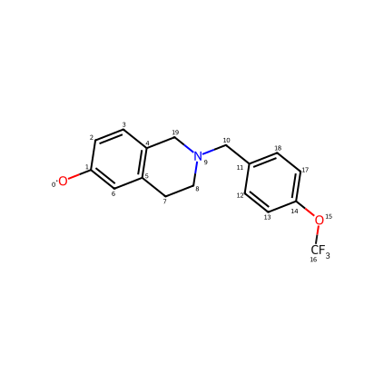 [O]c1ccc2c(c1)CCN(Cc1ccc(OC(F)(F)F)cc1)C2